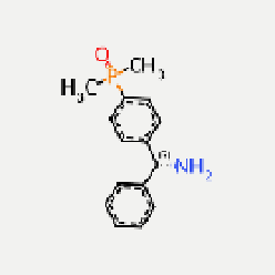 CP(C)(=O)c1ccc([C@H](N)c2ccccc2)cc1